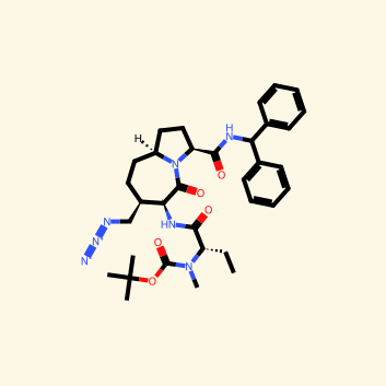 CC[C@@H](C(=O)N[C@@H]1C(=O)N2[C@@H](CC[C@@H]1CN=[N+]=[N-])CC[C@H]2C(=O)NC(c1ccccc1)c1ccccc1)N(C)C(=O)OC(C)(C)C